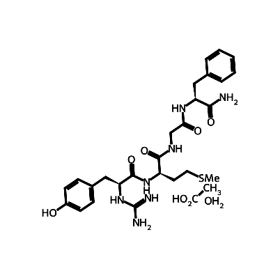 CC(=O)O.CSCC[C@@H](NC(=O)[C@H](Cc1ccc(O)cc1)NC(=N)N)C(=O)NCC(=O)N[C@@H](Cc1ccccc1)C(N)=O.O